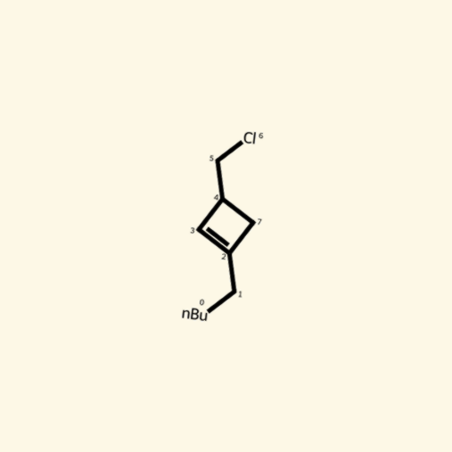 CCCCCC1=CC(CCl)C1